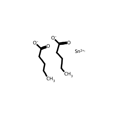 CCCCC(=O)[O-].CCCCC(=O)[O-].[Sn+2]